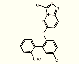 O=Cc1ccccc1-c1cc(Cl)ccc1Oc1ccc2nnc(Cl)n2n1